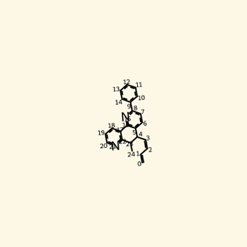 C=C/C=C\C1c2ccc(-c3ccccc3)nc2-c2cccnc2C1C